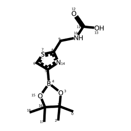 CC1(C)OB(c2csc(CNC(=O)O)n2)OC1(C)C